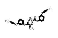 CC#COc1cccc(OC(=O)N(C)SN(C)C(=O)Oc2cccc(OC#CC)c2)c1